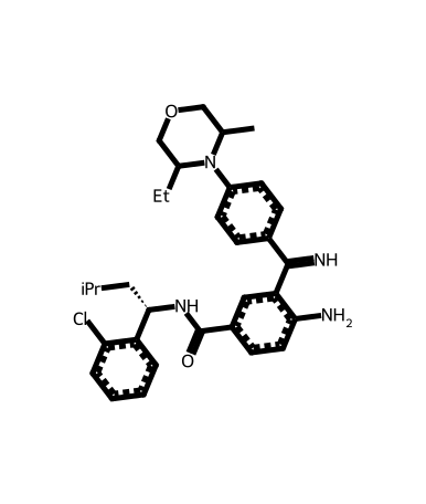 CCC1COCC(C)N1c1ccc(C(=N)c2cc(C(=O)N[C@@H](CC(C)C)c3ccccc3Cl)ccc2N)cc1